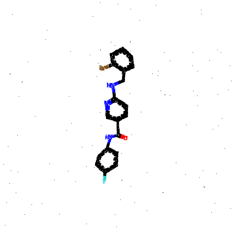 O=C(Nc1ccc(F)cc1)c1ccc(NCc2ccccc2Br)nc1